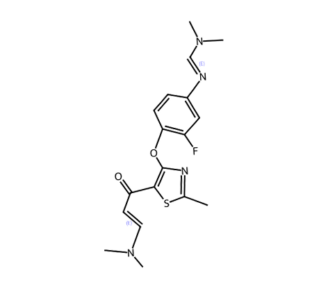 Cc1nc(Oc2ccc(/N=C/N(C)C)cc2F)c(C(=O)/C=C/N(C)C)s1